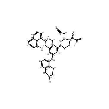 C=C(F)C(=O)N1CCN(c2nc(Oc3cccc4c3CCN(C)C4)nc3c2COC(c2cccc4cccc(Cl)c24)C3)C[C@@H]1CC#N